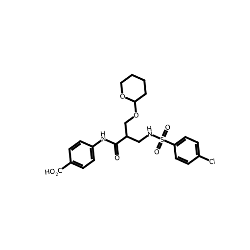 O=C(O)c1ccc(NC(=O)C(CNS(=O)(=O)c2ccc(Cl)cc2)COC2CCCCO2)cc1